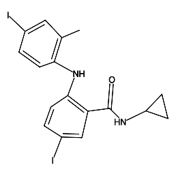 Cc1cc(I)ccc1Nc1ccc(I)cc1C(=O)NC1CC1